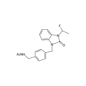 CC(=O)NCc1ccc(Cn2c(=O)n(C(C)F)c3ccccc32)cc1